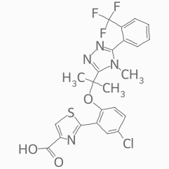 Cn1c(-c2ccccc2C(F)(F)F)nnc1C(C)(C)Oc1ccc(Cl)cc1-c1nc(C(=O)O)cs1